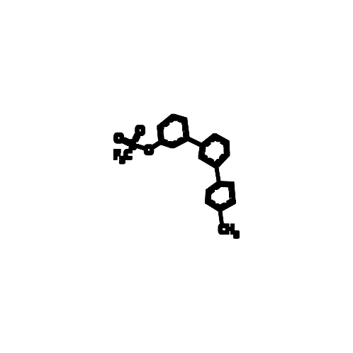 Cc1ccc(-c2cccc(-c3cccc(OS(=O)(=O)C(F)(F)F)c3)c2)cc1